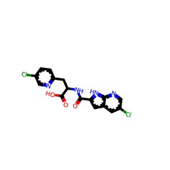 O=C(NC(Cc1ccc(Cl)cn1)C(=O)O)c1cc2cc(Cl)cnc2[nH]1